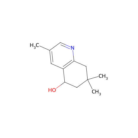 Cc1cnc2c(c1)C(O)CC(C)(C)C2